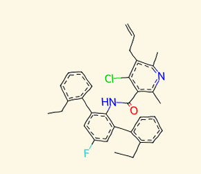 C=CCc1c(C)nc(C)c(C(=O)Nc2c(-c3ccccc3CC)cc(F)cc2-c2ccccc2CC)c1Cl